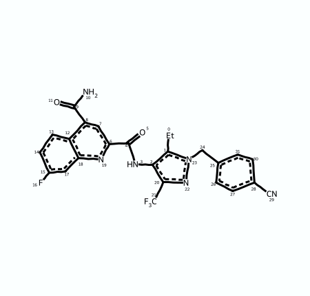 CCc1c(NC(=O)c2cc(C(N)=O)c3ccc(F)cc3n2)c(C(F)(F)F)nn1Cc1ccc(C#N)cc1